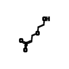 O=S(=O)=CCOCCO